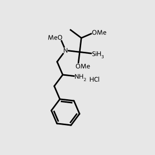 COC(C)C([SiH3])(OC)N(CC(N)Cc1ccccc1)OC.Cl